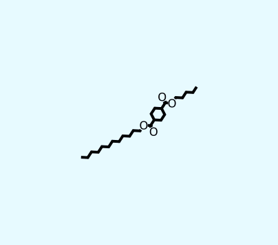 CCCCCCCCCCCCOC(=O)C1CCC(C(=O)OCCCCC)CC1